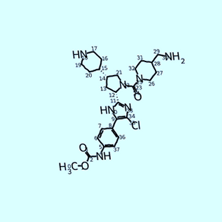 COC(=O)Nc1ccc(-c2[nH]c([C@@H]3C[C@H](C4CCNCC4)CN3C(=O)N3CCC(CN)CC3)nc2Cl)cc1